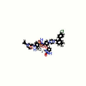 Cn1c(=O)[nH]c2cccc(Oc3cc(N4CCN(CC5=C(c6ccc(Cl)cc6)CC(C)(C)CC5)CC4)ccc3C(=O)NS(=O)(=O)c3ccc(NCC4CN(C5CC5)CCO4)c([N+](=O)[O-])c3)c21